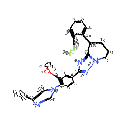 COc1cc(-c2nc3n(n2)CCCC3c2ccccc2F)ccc1-n1cnc(C)c1